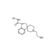 CC(C)NC(=O)C1=CCC2(CCN(CCC(C)(C)C)CC2)c2ccccc21